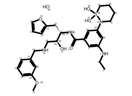 CCNc1cc(C(=O)N[C@@H](Cc2ccco2)[C@@H](O)CNCc2cccc(OC)c2)cc(N2CCCCS2(O)O)c1.Cl